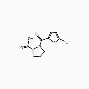 O=C(O)[C@@H]1CCCN1C(=O)c1ccc(Cl)s1